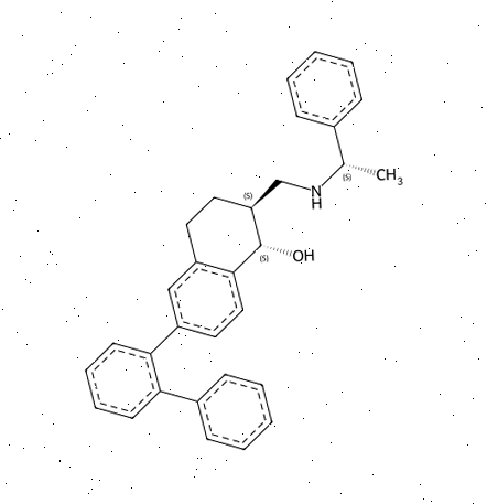 C[C@H](NC[C@@H]1CCc2cc(-c3ccccc3-c3ccccc3)ccc2[C@H]1O)c1ccccc1